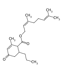 CCCC1CC(=O)C=C(C)C1C(=O)OCC=C(C)CCC=C(C)C